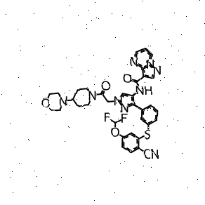 N#Cc1ccc(OC(F)F)cc1Sc1cccc(-c2nn(CC(=O)N3CCC(N4CCOCC4)CC3)cc2NC(=O)c2cnn3cccnc23)c1